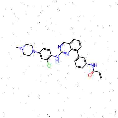 C=CC(=O)Nc1cccc(-c2cccc3cnc(Nc4ccc(N5CCN(C)CC5)cc4Cl)nc23)c1